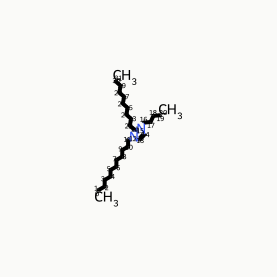 CCCCCCCCCCCCN1C=CN(CCCCC)C1CCCCCCCCCC